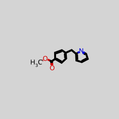 COC(=O)c1ccc(Cc2ccccn2)cc1